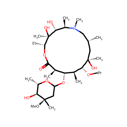 CC[C@H]1OC(=O)[C@H](C)[C@@H](OC2C[C@@](C)(OC)[C@@H](O)[C@H](C)O2)[C@H](C)[C@@H](OC(C)C)[C@](C)(O)C[C@@H](C)CN(C)[C@H](C)[C@@H](O)[C@]1(C)O